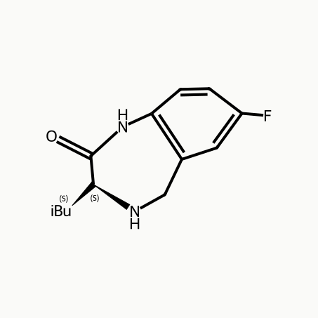 CC[C@H](C)[C@@H]1NCc2cc(F)ccc2NC1=O